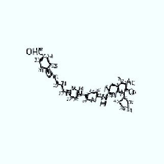 CC(=O)c1c(C)c2cnc(Nc3ccc(N4CCN(CCCCOc5ccc(C=O)cc5)CC4)cn3)nc2n(C2CCCC2)c1=O